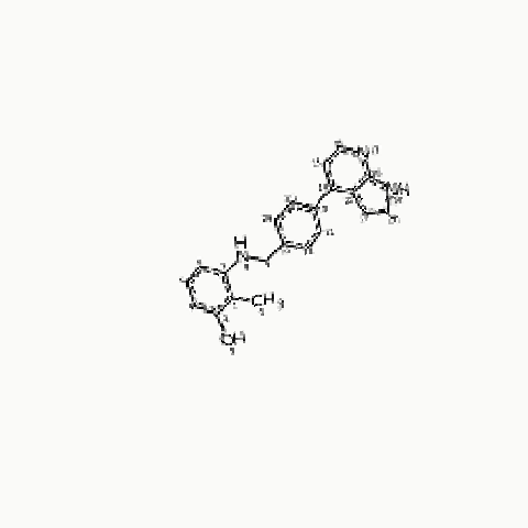 Cc1c(O)cccc1NCc1ccc(-c2ccnc3[nH]ccc23)cc1